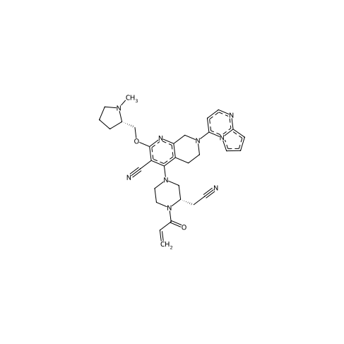 C=CC(=O)N1CCN(c2c(C#N)c(OC[C@@H]3CCCN3C)nc3c2CCN(c2ccnc4cccn24)C3)C[C@@H]1CC#N